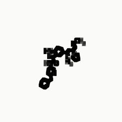 C=N/C=C(\C=C(/C)c1ccc2[nH]nc(C(=O)Nc3ccc(Cc4ccccc4)nc3)c2c1)N1CCCC1